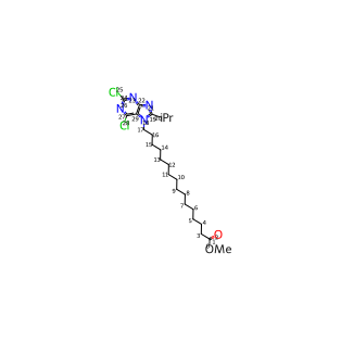 COC(=O)CCCCCCCCCCCCCCCn1c(C(C)C)nc2nc(Cl)nc(Cl)c21